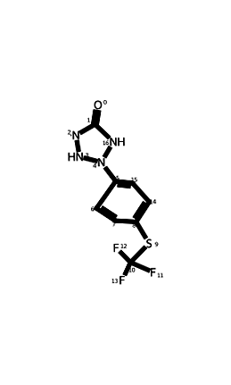 O=C1[N]NN(c2ccc(SC(F)(F)F)cc2)N1